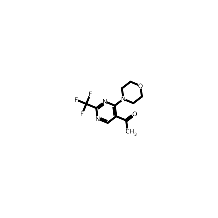 CC(=O)c1cnc(C(F)(F)F)nc1N1CCOCC1